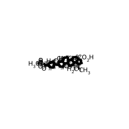 C=C(C)[C@@H]1CC[C@]2(C(=O)O)CC[C@]3(C)[C@H](CCC4[C@@]5(C)CC=C(c6ccc(C(=O)NS(C)(=O)=O)cc6)C(C)(C)[C@@H]5CC[C@]43C)[C@@H]12